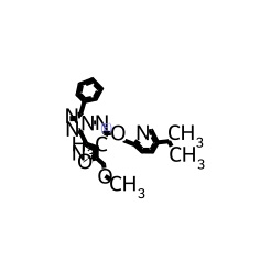 COCc1cc(-c2nnc(-c3ccccc3)n2/N=C(\C)OCc2ccc(C(C)C)cn2)no1